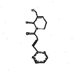 O=C(C=Cc1ncccn1)N1CCC=C(Cl)C1=O